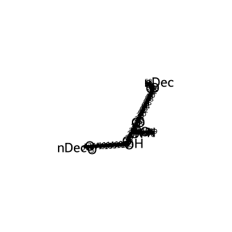 CCCCCCCCCCCCOC(=O)CCCCCCCCCCCCCCCCC(=O)OCCCCC(CCCCOC(=O)CCCCCCCCCCCCCCCCC(=O)OCCCCCCCCCCCC)OC(=O)NCCOCCN(C)C